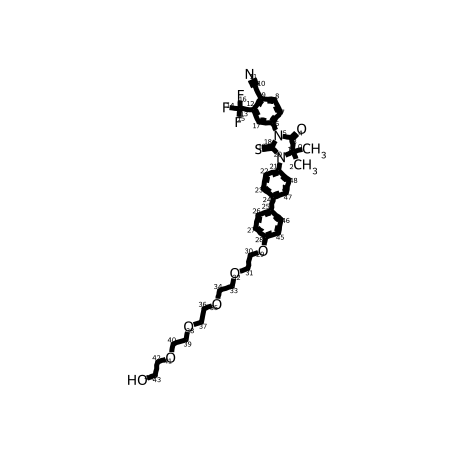 CC1(C)C(=O)N(c2ccc(C#N)c(C(F)(F)F)c2)C(=S)N1c1ccc(-c2ccc(OCCOCCOCCOCCOCCO)cc2)cc1